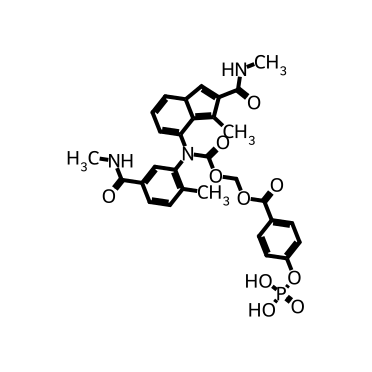 CNC(=O)C1=CC2C=CC=C(N(C(=O)OCOC(=O)c3ccc(OP(=O)(O)O)cc3)c3cc(C(=O)NC)ccc3C)C2=C1C